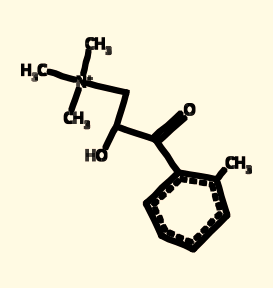 Cc1ccccc1C(=O)C(O)C[N+](C)(C)C